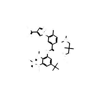 CN(C)CC(C)(C)CN.COc1c(NC(=O)c2ccc(C)c(-n3cc(C(=O)O)cn3)c2)cc(C(C)(C)C)cc1NS(C)(=O)=O